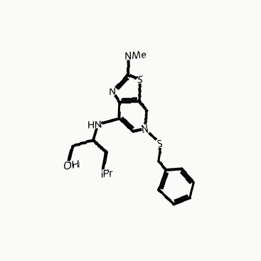 CNc1nc2c(s1)CN(SCc1ccccc1)C=C2NC(CO)CC(C)C